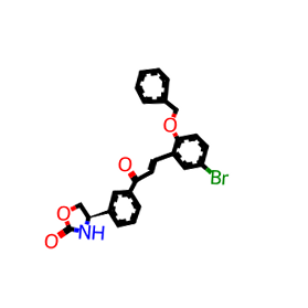 O=C1N[C@H](c2cccc(C(=O)C=Cc3cc(Br)ccc3OCc3ccccc3)c2)CO1